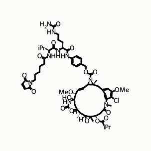 COc1cc2cc(c1Cl)N(C)C(=O)C[C@H](OC(=O)C(C)C)C1(C)O[C@H]1[C@H](C)[C@@H]1C[C@@](O)(NC(=O)O1)[C@H](OC)/C=C/C1N(C(=O)OCc3ccc(NC(=O)[C@H](CCCNC(N)=O)NC(=O)[C@@H](NC(=O)CCCCCN4C(=O)C=CC4=O)C(C)C)cc3)[C@]1(C)C2